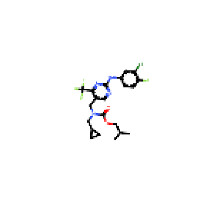 CC(C)COC(=O)N(Cc1cnc(Nc2ccc(F)c(Cl)c2)nc1C(F)(F)F)CC1CC1